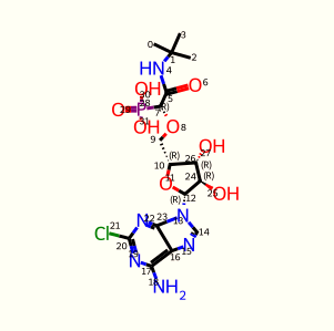 CC(C)(C)NC(=O)[C@H](OC[C@H]1O[C@@H](n2cnc3c(N)nc(Cl)nc32)[C@H](O)[C@H]1O)P(=O)(O)O